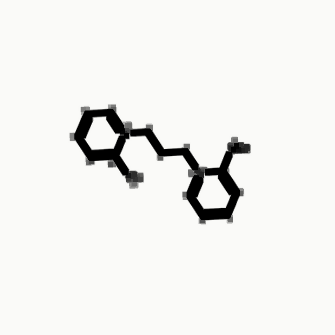 CSc1cccc[n+]1CCC[n+]1ccccc1C(C)(C)C